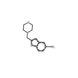 Nc1ccc2sc(CN3CCOCC3)cc2c1